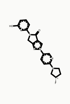 O=C1c2cn(-c3ccc(N4CC[C@H](F)C4)nc3)nc2CN1c1cccc(O)n1